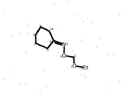 CCOCON=C1CCCCC1